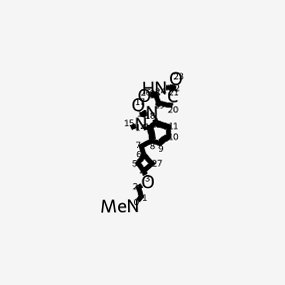 CNCCOC1CC(Cc2cccc3c2n(C)c(=O)n3C2CCC(=O)NC2=O)C1